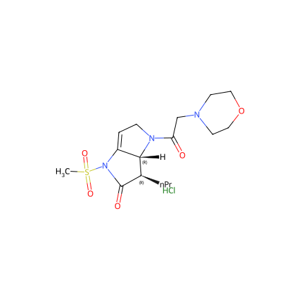 CCC[C@H]1C(=O)N(S(C)(=O)=O)C2=CCN(C(=O)CN3CCOCC3)[C@@H]21.Cl